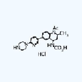 CC(=O)N1c2ccc(-c3ccc(N4CCNCC4)nc3)cc2C(NC(=O)O)CC1C.Cl